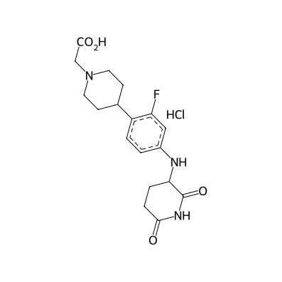 Cl.O=C(O)CN1CCC(c2ccc(NC3CCC(=O)NC3=O)cc2F)CC1